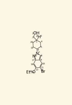 [2H]C1(CO)CCC(n2cc3cc(Br)c(OCC)cc3n2)CC1